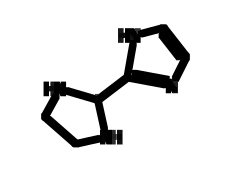 c1c[nH]c([C]2NCCN2)n1